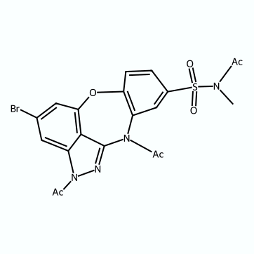 CC(=O)N1c2cc(S(=O)(=O)N(C)C(C)=O)ccc2Oc2cc(Br)cc3c2c1nn3C(C)=O